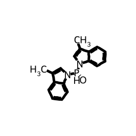 Cc1cn([PH](=O)n2cc(C)c3ccccc32)c2ccccc12